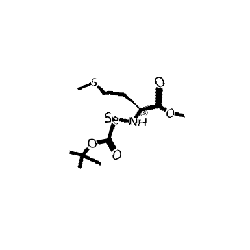 COC(=O)[C@H](CCSC)N[Se]C(=O)OC(C)(C)C